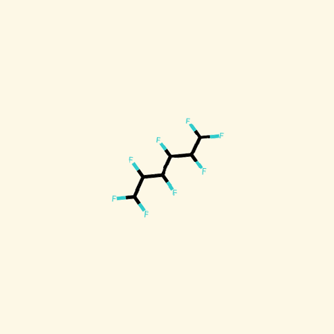 FC(F)C(F)C(F)C(F)C(F)C(F)F